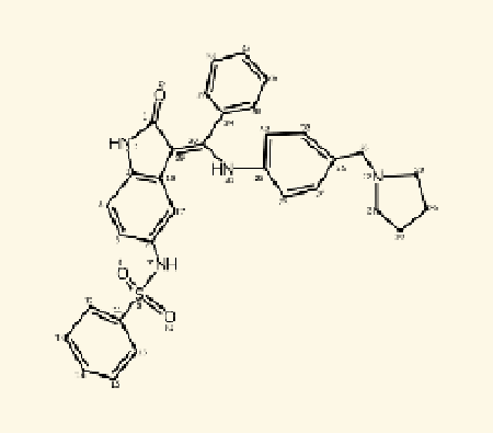 O=C1Nc2ccc(NS(=O)(=O)c3ccccc3)cc2C1=C(Nc1ccc(CN2CCCC2)cc1)c1ccccc1